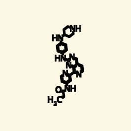 C=CC(=O)Nc1ccnc(-c2nccc3cnc(Nc4ccc(NC5CCNCC5)cc4)nc23)c1